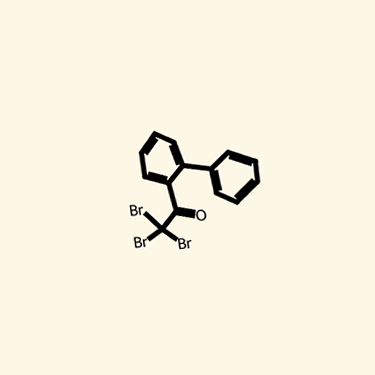 O=C(c1ccccc1-c1ccccc1)C(Br)(Br)Br